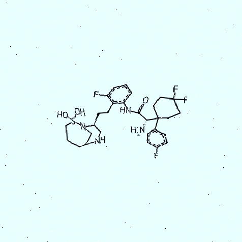 N[C@H](C(=O)Nc1cccc(F)c1CC[C@H]1CNC2CCCS(O)(O)N1C2)C1(c2ccc(F)cc2)CCC(F)(F)CC1